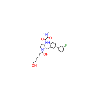 CN(C)C(=O)C(=O)N[C@H]1CCN(C(O)CCCCCO)[C@H]1Cc1cccc(-c2cccc(F)c2)c1